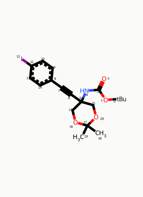 CC(C)(C)OC(=O)NC1(C#Cc2ccc(I)cc2)COC(C)(C)OC1